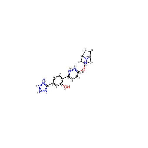 Oc1cc(-c2nnn[nH]2)ccc1-c1ccc(OC2CC3CCC(C2)N3)nn1